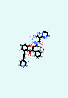 C[C@H](NC(=O)c1c(N)nn2cccnc12)c1oc2cccc(C#Cc3ccncc3)c2c(=O)c1-c1ccccc1